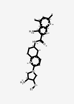 CCOC1CN(c2ccc3c(n2)CCC(NC(=O)c2sc4nc(C)cc(C)c4c2N)C3)CC1N